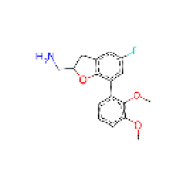 COc1cccc(-c2cc(F)cc3c2OC(CN)C3)c1OC